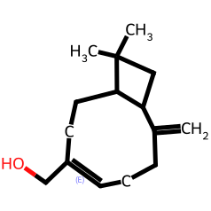 C=C1CC/C=C(/CO)CCC2C1CC2(C)C